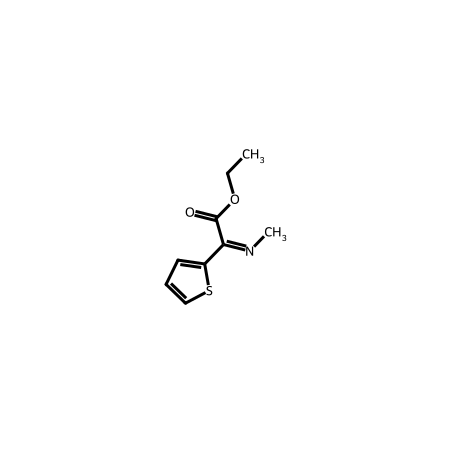 CCOC(=O)/C(=N\C)c1cccs1